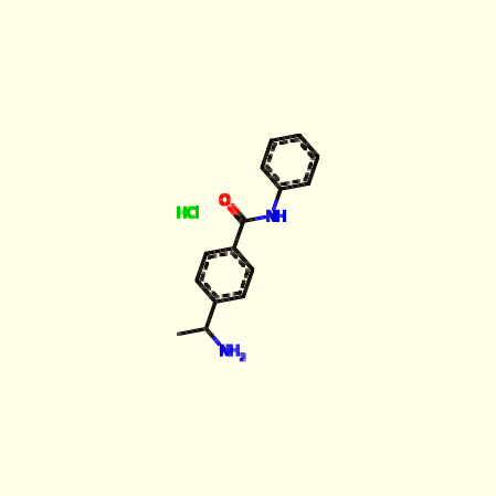 CC(N)c1ccc(C(=O)Nc2ccccc2)cc1.Cl